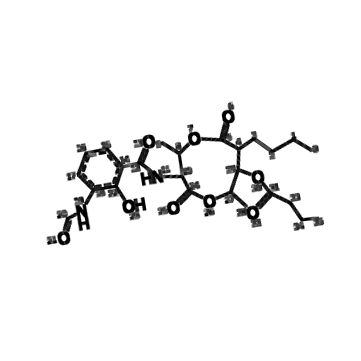 CCCCC1C(=O)OC(C)C(NC(=O)c2cccc(NC=O)c2O)C(=O)OC(C)C1OC(=O)CCC